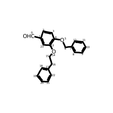 O=Cc1ccc(OCc2ccccc2)c(OCCc2ccccc2)c1